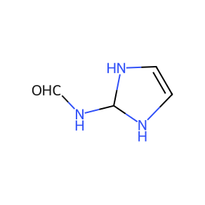 O=CNC1NC=CN1